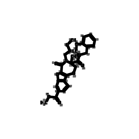 COCCN1C(=O)c2oc3cc(C(=O)OC)ccc3c2OCC1(C)C(=O)NCc1ccccc1OC